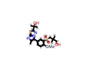 COc1ccc(-c2c(C)nc3sc(C(C)(C)O)nn23)cc1S(=O)(=O)CC(C)(C)CO